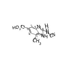 Cc1cc(C(=O)O)cc2nc(NC#N)[nH]c12